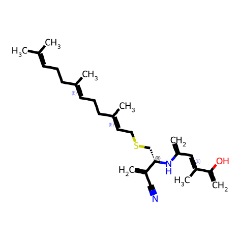 C=C(/C=C(\C)C(=C)O)N[C@@H](CSC/C=C(\C)CC/C=C(\C)CCC=C(C)C)C(=C)C#N